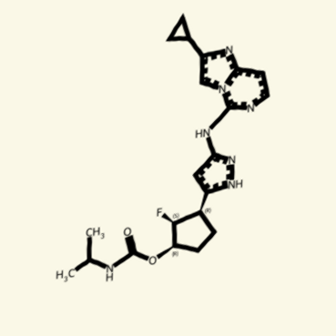 CC(C)NC(=O)O[C@@H]1CC[C@H](c2cc(Nc3nccc4nc(C5CC5)cn34)n[nH]2)[C@@H]1F